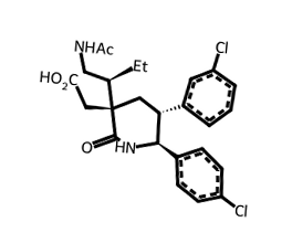 CC[C@H](CNC(C)=O)[C@]1(CC(=O)O)C[C@H](c2cccc(Cl)c2)[C@@H](c2ccc(Cl)cc2)NC1=O